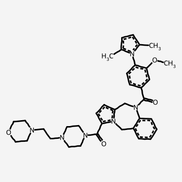 COc1cc(C(=O)N2Cc3ccc(C(=O)N4CCN(CCN5CCOCC5)CC4)n3Cc3ccccc32)ccc1-n1c(C)ccc1C